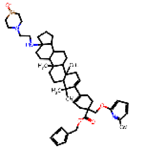 CC1(C)C(C2=CCC(COc3cccc(C#N)n3)(C(=O)OCc3ccccc3)CC2)=CCC2(C)C1CCC1(C)C3CCC4(NCCN5CC[S+]([O-])CC5)CCCC4C3CCC12